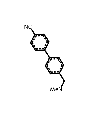 CNCc1ccc(-c2ccc(C#N)cc2)cc1